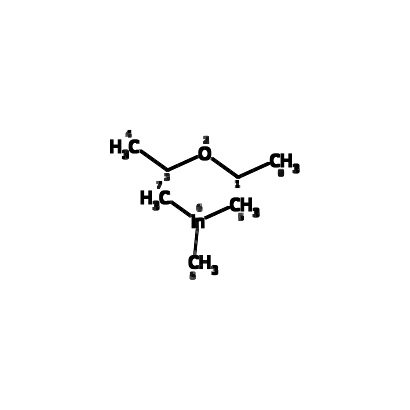 CCOCC.[CH3][In]([CH3])[CH3]